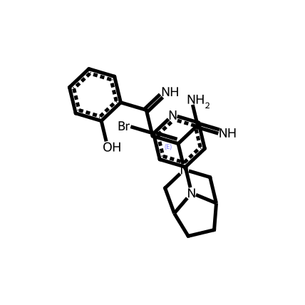 N=C(N)/C(=C\C(=N)c1ccccc1O)N1CC2CCC(C1)N2c1ccnc(Br)c1